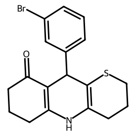 O=C1CCCC2=C1C(c1cccc(Br)c1)C1=C(CCCS1)N2